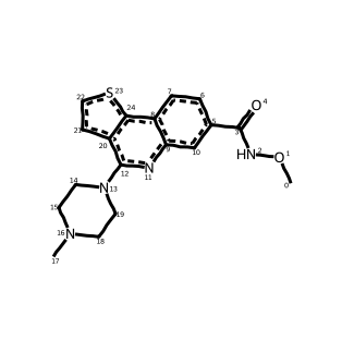 CONC(=O)c1ccc2c(c1)nc(N1CCN(C)CC1)c1ccsc12